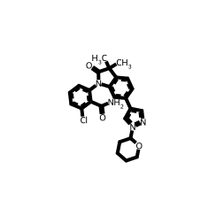 CC1(C)C(=O)N(c2cccc(Cl)c2C(N)=O)c2cc(-c3cnn(C4CCCCO4)c3)ccc21